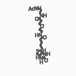 CC(=O)NCCNC(=O)CCOCCNC(=O)CCCC[C@@H]1SC[C@@H]2NC(=O)N[C@@H]21